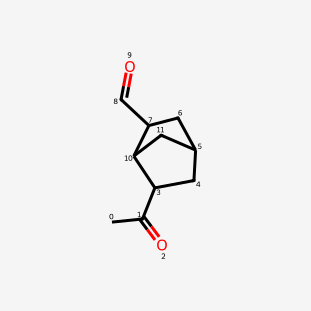 CC(=O)C1CC2CC(C=O)C1C2